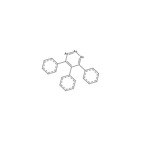 c1ccc(C2=[As][As]=[As]C(c3ccccc3)=C2c2ccccc2)cc1